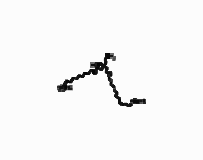 CCCCC/C=C\C/C=C\CCCCCCCCOCCC(CO)(CCN)CCOCCCCCCCC/C=C\C/C=C\CCCCC